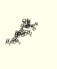 CCN1CC[C@H]2CC[C@@H](C(=O)N3C[C@@H](C#N)[C@H](c4ccccc4)C3)N2C(=O)C(NC(=O)c2cc3cc(C(F)(F)P(=O)(OCOC(=O)C(C)(C)C)OCOC(=O)C(C)(C)C)ccc3s2)C1